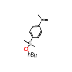 C=C(C)c1ccc([Si](C)(C)OCCCC)cc1